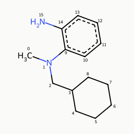 CN(CC1CCCCC1)c1ccccc1N